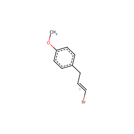 COc1ccc(C/C=C/Br)cc1